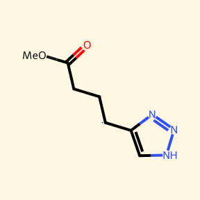 COC(=O)CC[CH]c1c[nH]nn1